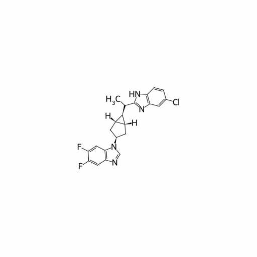 CC(c1nc2cc(Cl)ccc2[nH]1)[C@H]1[C@@H]2C[C@@H](n3cnc4cc(F)c(F)cc43)C[C@@H]21